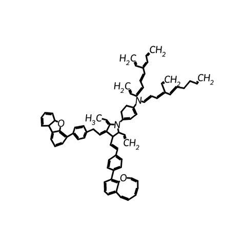 C=C/C=C(C=C)/C=C/C=C(\C=C)N(/C=C/C=C(C=C)/C=C/CCC=C)C1=CC=C(N2C(=C/C)/C(=C\Cc3ccc(-c4cccc5c4OC4C=CC=CC54)cc3)C(/C=C/c3ccc(-c4cccc5ccccccoc45)cc3)C2C=C)CC1